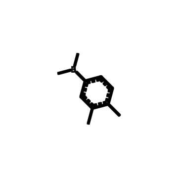 CB(C)c1ccc(C)c(C)c1